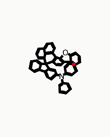 c1ccc(N(c2ccccc2)c2ccc3c(c2)C2(c4ccccc4-3)c3ccc4c(oc5ccccc54)c3-c3cccc4cccc2c34)cc1